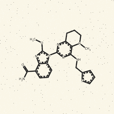 COc1nc2c(C(N)=O)cccc2n1-c1nc2c(c(NCc3cccs3)n1)N(C)CCC2